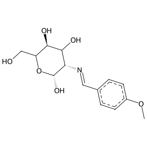 COc1ccc(/C=N/[C@H]2C(O)[C@H](O)C(CO)O[C@H]2O)cc1